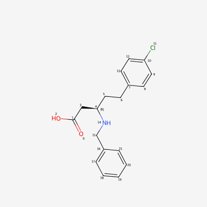 O=C(O)C[C@@H](CCc1ccc(Cl)cc1)NCc1ccccc1